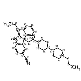 CCCN1CCN(C2CCN(C(=O)CC3(c4ccccc4OCC)C(=O)Nc4ccc(C#N)cc43)CC2)CC1